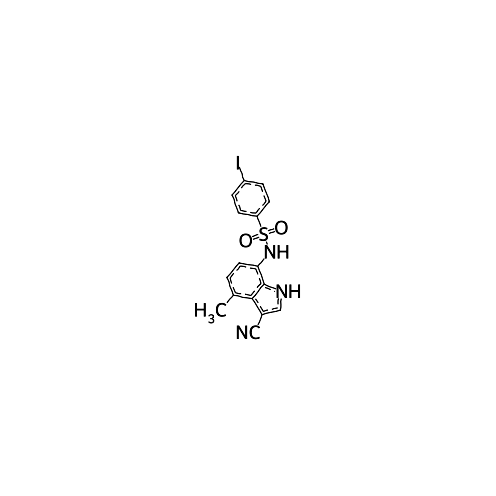 Cc1ccc(NS(=O)(=O)c2ccc(I)cc2)c2[nH]cc(C#N)c12